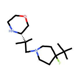 CC(C)(CN1CCC(F)(C(C)(C)C)CC1)[C@H]1COCCN1